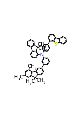 Cc1cc(C)c2c(c1)C(C)(C)c1ccc(-c3cccc(N(c4ccc(-c5cccc6c5sc5ccccc56)cc4)c4cccc5c4C(C)(C)c4ccccc4-5)c3)cc1-2